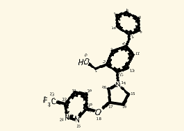 OCc1cc(-c2ccccc2)ccc1N1CCC(Oc2ccc(C(F)(F)F)nn2)C1